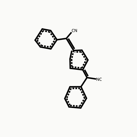 [C-]#[N+]C(c1ccccc1)=c1ccc(=C(C#N)c2ccccc2)cc1